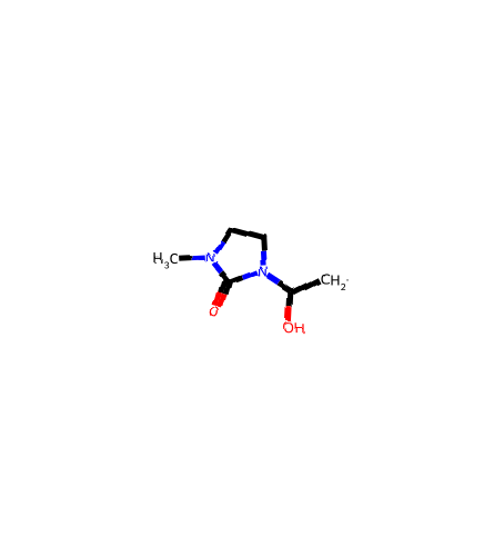 [CH2]C(O)N1CCN(C)C1=O